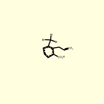 C=CCc1c(C(=O)O)cccc1C(Br)(Br)Br